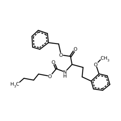 CCCCOC(=O)NC(CCc1ccccc1OC)C(=O)OCc1ccccc1